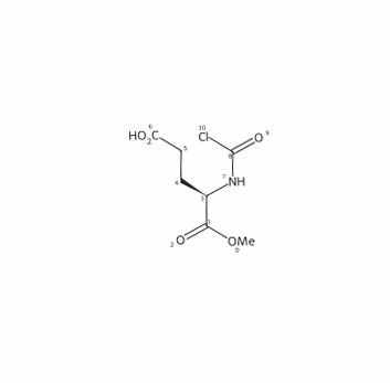 COC(=O)[C@@H](CCC(=O)O)NC(=O)Cl